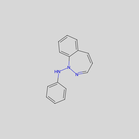 C1=Cc2ccccc2N(Nc2ccccc2)N=C1